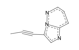 CC#Cc1cnc2cccnn12